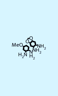 COc1ccc(N)c(N)c1.Nc1cc2c(cc1N)OCO2